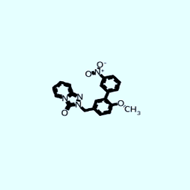 COc1ccc(Cn2nc3ccccn3c2=O)cc1-c1cccc([N+](=O)[O-])c1